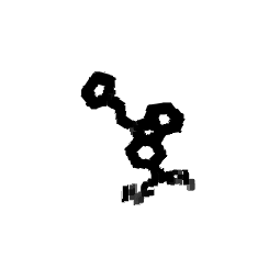 CN(C)C1CCc2c(c3ccccc3n2CCN2CCCC2)C1